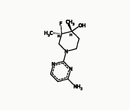 C[C@@]1(O)CCN(c2nccc(N)n2)C[C@@]1(C)F